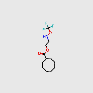 O=C(OCCNOC(F)(F)F)C1CCCCCCC1